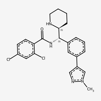 Cn1cc(-c2cccc([C@H](NC(=O)c3ccc(Cl)cc3Cl)[C@@H]3CCCCN3)c2)cn1